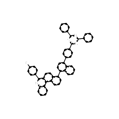 Fc1ccc(-c2nc3ccccc3c3c2ccc2c(-c4ccc(-c5ccc(-c6nc(-c7ccccc7)nc(-c7ccccc7)n6)cc5)c5ccccc45)cccc23)cc1